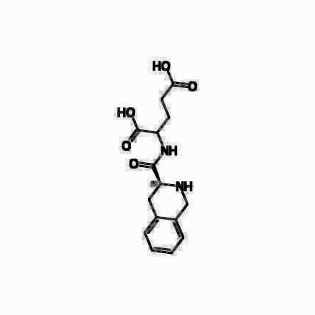 O=C(O)CCC(NC(=O)[C@@H]1Cc2ccccc2CN1)C(=O)O